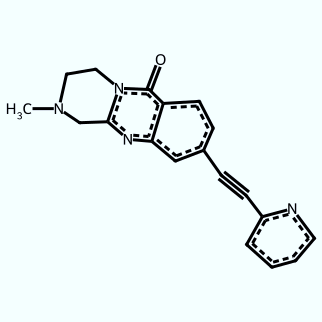 CN1CCn2c(nc3cc(C#Cc4ccccn4)ccc3c2=O)C1